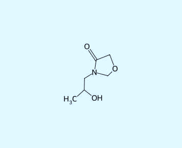 CC(O)CN1COCC1=O